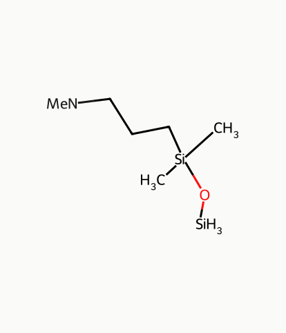 CNCCC[Si](C)(C)O[SiH3]